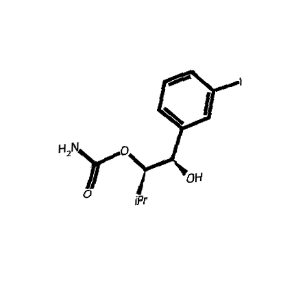 CC(C)[C@@H](OC(N)=O)[C@H](O)c1cccc(I)c1